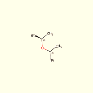 CC(C)[C@@H](C)O[C@H](C)C(C)C